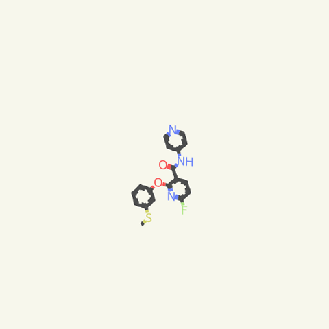 CSc1cccc(Oc2nc(F)ccc2C(=O)Nc2ccncc2)c1